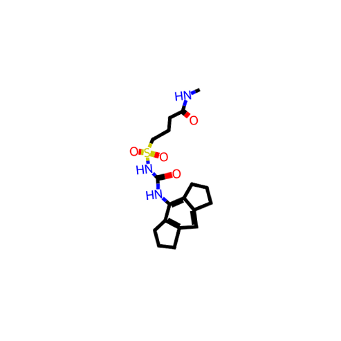 CNC(=O)CCCS(=O)(=O)NC(=O)Nc1c2c(cc3c1CCC3)CCC2